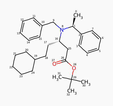 C[C@@H](c1ccccc1)N(Cc1ccccc1)[C@@H](CCC1CCCCC1)CC(=O)OC(C)(C)C